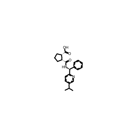 CC(C)c1ccc([C@@H](NC(=O)[C@@H]2CCC[C@@H]2C(=O)O)c2ccccc2)nc1